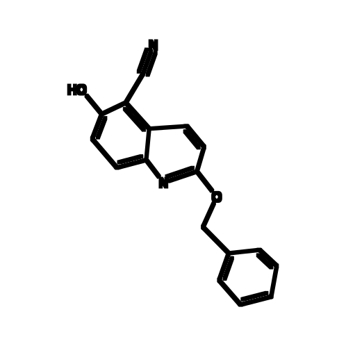 N#Cc1c(O)ccc2nc(OCc3ccccc3)ccc12